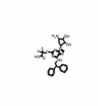 NC1CC(n2cnc3c(NCC(c4ccccc4)c4ccccc4)nc(Cl)nc32)C(O)C1O.O=C(O)C(F)(F)F